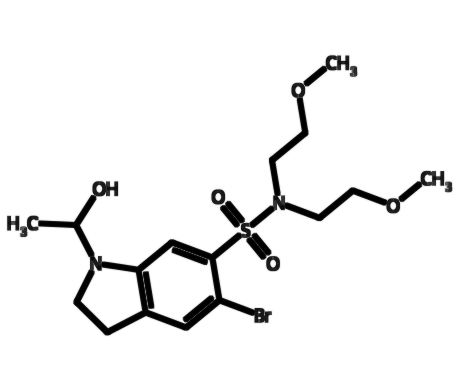 COCCN(CCOC)S(=O)(=O)c1cc2c(cc1Br)CCN2C(C)O